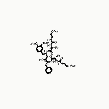 COCCNC(=O)N[C@H](C(=O)N[C@@H](Cc1ccccc1)[C@@H](O)CN(Cc1ccc(OC)c(OC)c1)NC(=O)[C@@H](NC(=O)NCCOC)C(C)C)C(C)C